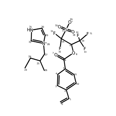 C=Cc1ccc(C(=O)OC(C(F)(F)F)C(F)(F)S(=O)(=O)[O-])cc1.CCC(C)C[n+]1cc[nH]c1